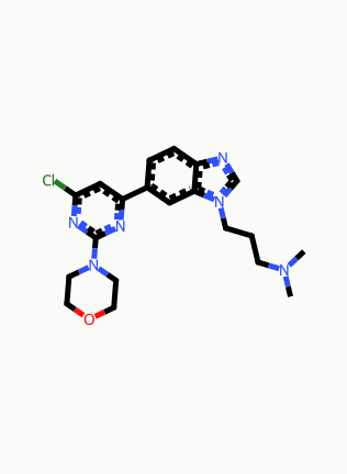 CN(C)CCCn1cnc2ccc(-c3cc(Cl)nc(N4CCOCC4)n3)cc21